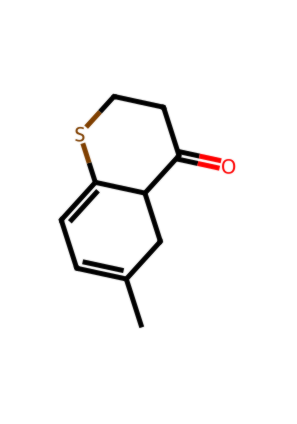 CC1=CC=C2SCCC(=O)C2C1